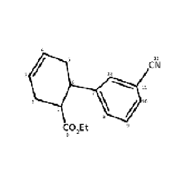 CCOC(=O)C1CC=CCC1c1cccc(C#N)c1